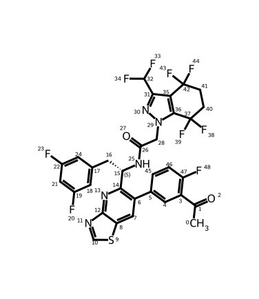 CC(=O)c1cc(-c2cc3scnc3nc2[C@H](Cc2cc(F)cc(F)c2)NC(=O)Cn2nc(C(F)F)c3c2C(F)(F)CCC3(F)F)ccc1F